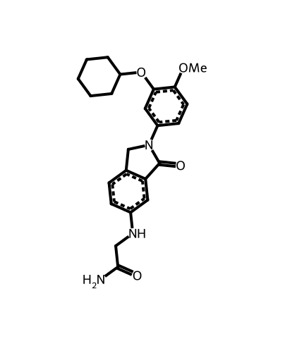 COc1ccc(N2Cc3ccc(NCC(N)=O)cc3C2=O)cc1OC1CCCCC1